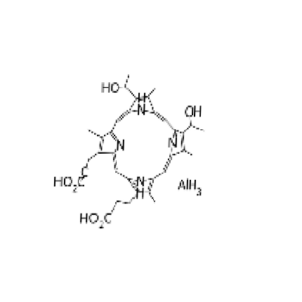 CC1=C(CCC(=O)O)c2cc3[nH]c(cc4nc(cc5[nH]c(cc1n2)c(C(C)O)c5C)C(C(C)O)=C4C)c(C)c3CCC(=O)O.[AlH3]